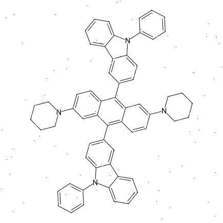 c1ccc(-n2c3ccccc3c3cc(-c4c5ccc(N6CCCCC6)cc5c(-c5ccc6c(c5)c5ccccc5n6-c5ccccc5)c5ccc(N6CCCCC6)cc45)ccc32)cc1